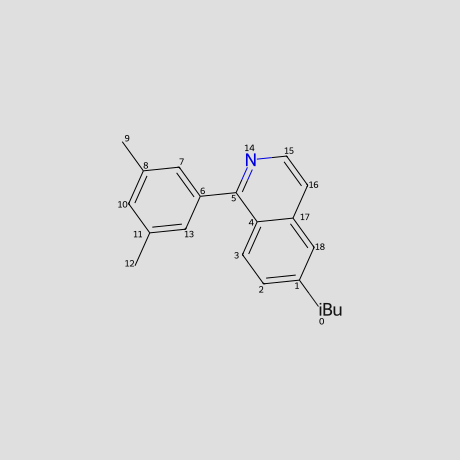 CCC(C)c1ccc2c(-c3cc(C)cc(C)c3)nccc2c1